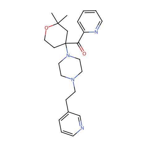 CC1(C)CC(C(=O)c2ccccn2)(N2CCN(CCc3cccnc3)CC2)CCO1